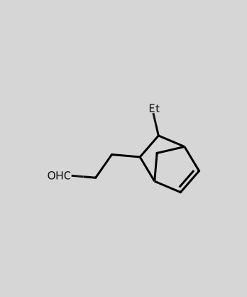 CCC1C2C=CC(C2)C1CCC=O